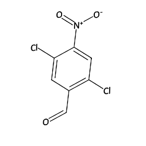 O=Cc1cc(Cl)c([N+](=O)[O-])cc1Cl